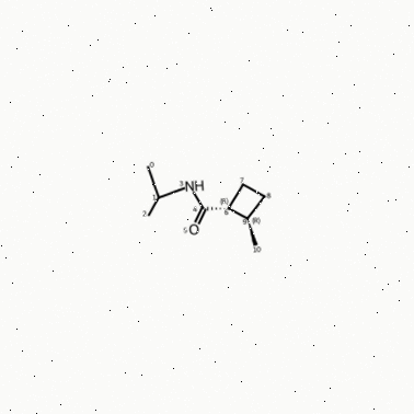 CC(C)NC(=O)[C@@H]1CC[C@H]1C